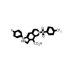 O=C(O)C1C2CN(S(=O)(=O)c3ccc(C(F)(F)F)cc3)CC=C2C=C2C1CNN2c1ccc(F)cc1